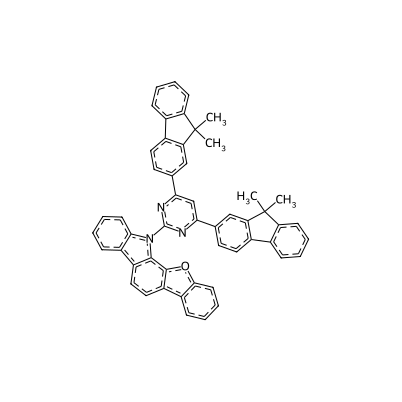 CC1(C)c2ccccc2-c2ccc(-c3cc(-c4ccc5c(c4)C(C)(C)c4ccccc4-5)nc(-n4c5ccccc5c5ccc6c7ccccc7oc6c54)n3)cc21